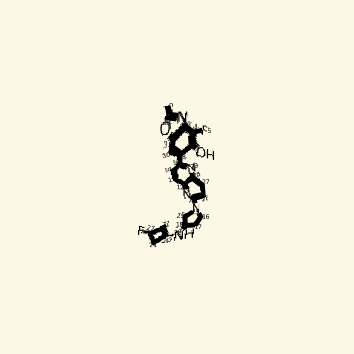 Cc1nc2c(F)c(O)c(-c3ccc4nc(N5CCC(N[C@H]6C[C@H](F)C6)C5)ccc4n3)cc2o1